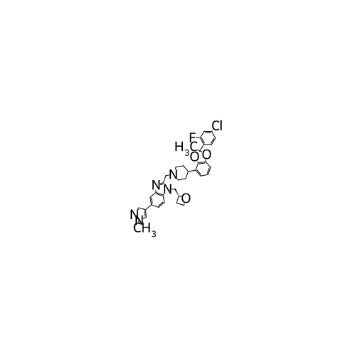 Cn1cc(-c2ccc3c(c2)nc(CN2CCC(c4cccc5c4OC(C)(c4ccc(Cl)cc4F)O5)CC2)n3C[C@@H]2CCO2)cn1